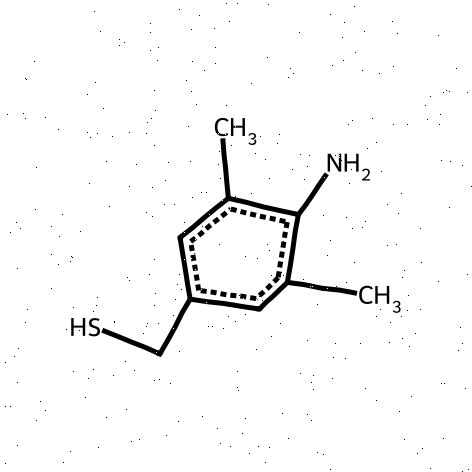 Cc1cc(CS)cc(C)c1N